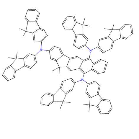 CC1(C)c2ccccc2-c2ccc(N(c3ccc4c(c3)C(C)(C)c3ccccc3-4)c3ccc4c(c3)C(C)(C)c3cc5c(N(c6ccc7c(c6)C(C)(C)c6ccccc6-7)c6ccc7c(c6)C(C)(C)c6ccccc6-7)c6ccccc6c(N(c6ccc7c(c6)C(C)(C)c6ccccc6-7)c6ccc7c(c6)C(C)(C)c6ccccc6-7)c5cc3-4)cc21